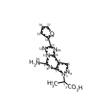 CC(C(=O)O)n1ncc2c1nc(N)n1nc(-c3ccco3)nc21